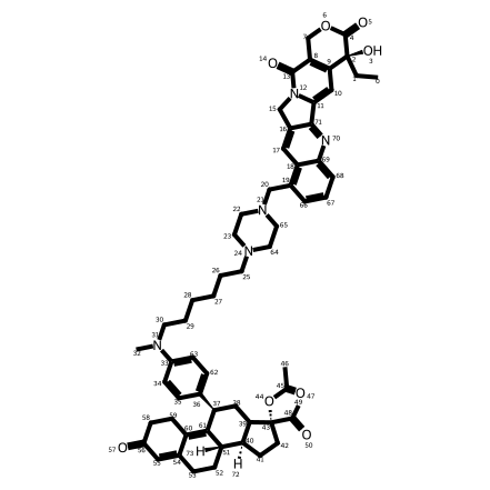 CC[C@@]1(O)C(=O)OCc2c1cc1n(c2=O)Cc2cc3c(CN4CCN(CCCCCCN(C)c5ccc([C@H]6CC7[C@@H](CC[C@]7(OC(C)=O)C(C)=O)[C@@H]7CCC8=CC(=O)CCC8=C76)cc5)CC4)cccc3nc2-1